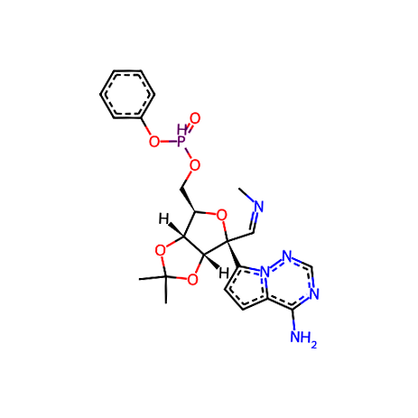 C/N=C\[C@@]1(c2ccc3c(N)ncnn23)O[C@H](CO[PH](=O)Oc2ccccc2)[C@H]2OC(C)(C)O[C@H]21